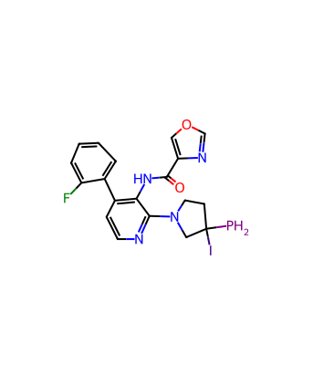 O=C(Nc1c(-c2ccccc2F)ccnc1N1CCC(P)(I)C1)c1cocn1